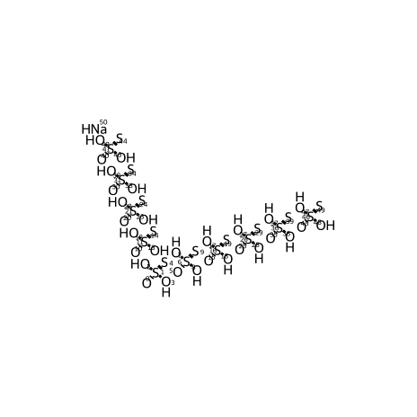 O=S(O)(O)=S.O=S(O)(O)=S.O=S(O)(O)=S.O=S(O)(O)=S.O=S(O)(O)=S.O=S(O)(O)=S.O=S(O)(O)=S.O=S(O)(O)=S.O=S(O)(O)=S.O=S(O)(O)=S.[NaH]